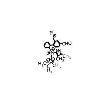 CCOCc1cc(C=O)ccc1-c1ccccc1S(=O)(=O)N(COC(C)[Si](C)(C)C)c1onc(C)c1C